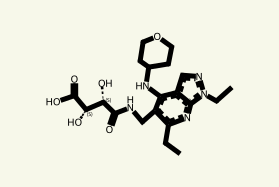 CCc1nc2c(cnn2CC)c(NC2CCOCC2)c1CNC(=O)[C@@H](O)[C@H](O)C(=O)O